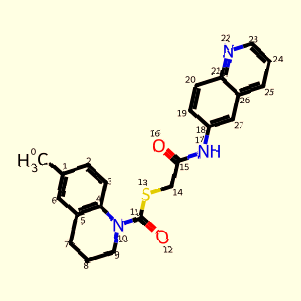 Cc1ccc2c(c1)CCCN2C(=O)SCC(=O)Nc1ccc2ncccc2c1